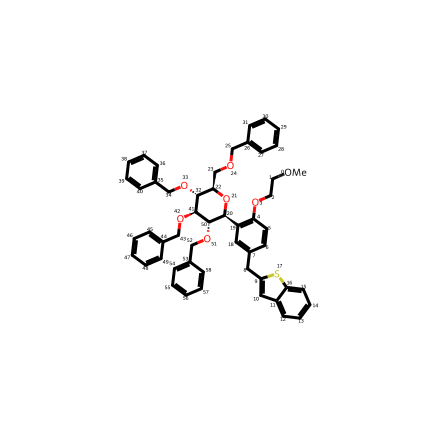 COCCOc1ccc(Cc2cc3ccccc3s2)cc1[C@@H]1O[C@H](COCc2ccccc2)[C@@H](OCc2ccccc2)[C@H](OCc2ccccc2)[C@H]1OCc1ccccc1